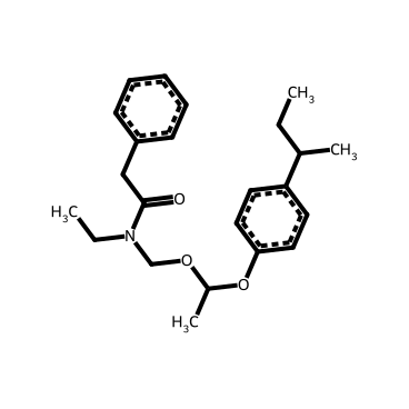 CCC(C)c1ccc(OC(C)OCN(CC)C(=O)Cc2ccccc2)cc1